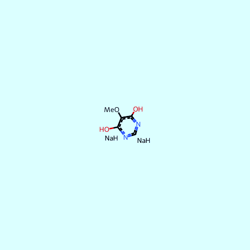 COc1c(O)ncnc1O.[NaH].[NaH]